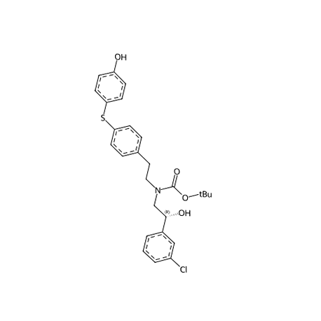 CC(C)(C)OC(=O)N(CCc1ccc(Sc2ccc(O)cc2)cc1)C[C@H](O)c1cccc(Cl)c1